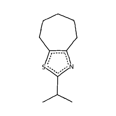 CC(C)c1nc2c(s1)CCCCC2